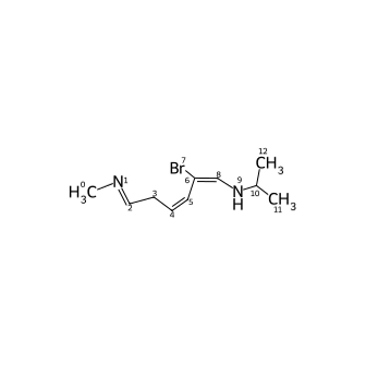 C/N=C/C/C=C\C(Br)=C/NC(C)C